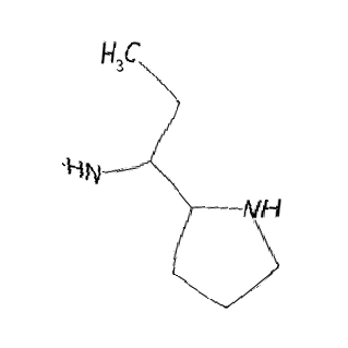 CCC([NH])C1CCCN1